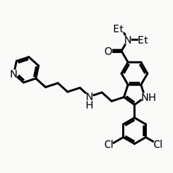 CCN(CC)C(=O)c1ccc2[nH]c(-c3cc(Cl)cc(Cl)c3)c(CCNCCCCc3cccnc3)c2c1